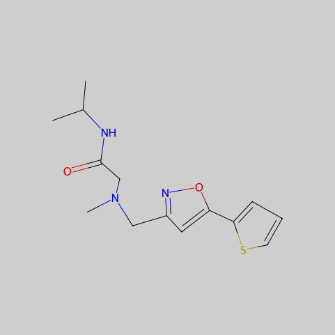 CC(C)NC(=O)CN(C)Cc1cc(-c2cccs2)on1